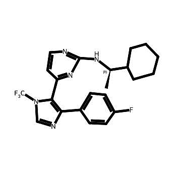 C[C@@H](Nc1nccc(-c2c(-c3ccc(F)cc3)ncn2C(F)(F)F)n1)C1CCCCC1